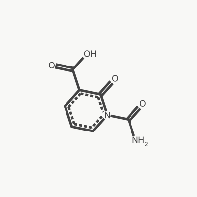 NC(=O)n1cccc(C(=O)O)c1=O